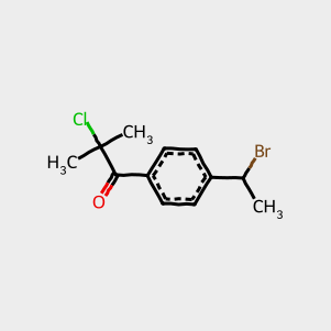 CC(Br)c1ccc(C(=O)C(C)(C)Cl)cc1